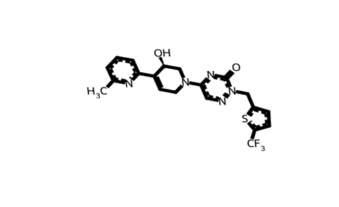 Cc1cccc(C2=CCN(c3cnn(Cc4ccc(C(F)(F)F)s4)c(=O)n3)C[C@@H]2O)n1